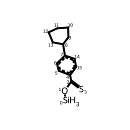 [SiH3]OC(=S)c1ccc(C2CCCCC2)cc1